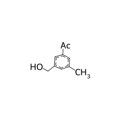 CC(=O)c1cc(C)cc(CO)c1